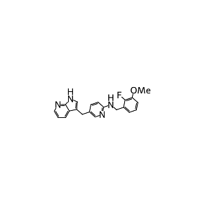 COc1cccc(CNc2ccc(Cc3c[nH]c4ncccc34)cn2)c1F